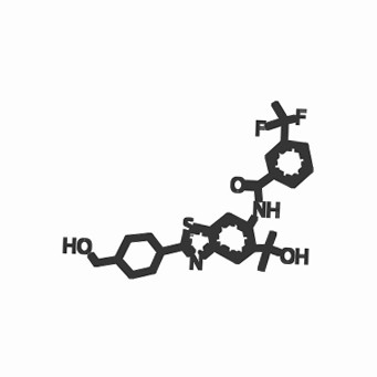 CC(C)(O)c1cc2nc(C3CCC(CO)CC3)sc2cc1NC(=O)c1cccc(C(C)(F)F)c1